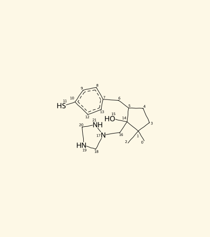 CC1(C)CCC(Cc2ccc(S)cc2)C1(O)CN1CNCN1